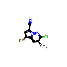 Cc1cc2c(Br)cc(C#N)n2nc1Cl